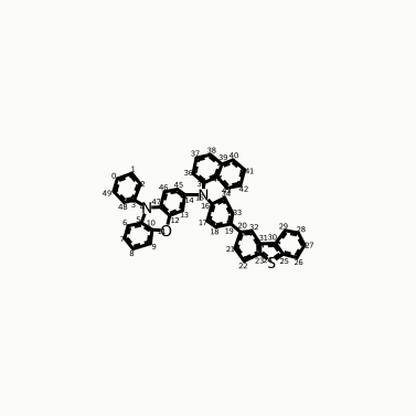 c1ccc(N2c3ccccc3Oc3cc(N(c4ccc(-c5ccc6sc7ccccc7c6c5)cc4)c4cccc5ccccc45)ccc32)cc1